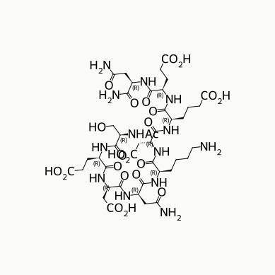 CC(=O)N[C@H](CO)C(=O)N[C@H](CCC(=O)O)C(=O)N[C@H](CC(=O)O)C(=O)N[C@H](CC(N)=O)C(=O)N[C@H](CCCCN)C(=O)N[C@H](CC(=O)O)C(=O)N[C@H](CCCC(=O)O)C(=O)N[C@H](CCC(=O)O)C(=O)N[C@H](CC(N)=O)C(N)=O